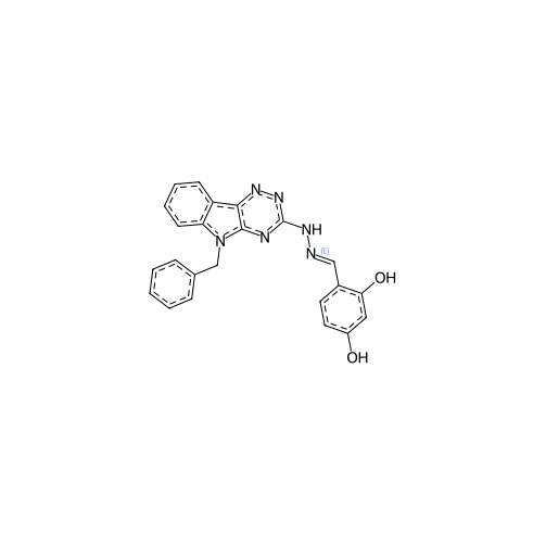 Oc1ccc(/C=N/Nc2nnc3c4ccccc4n(Cc4ccccc4)c3n2)c(O)c1